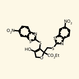 CCOC(=O)C1(CSc2nc3ccc([N+](=O)[O-])cc3s2)OCC(O)=C1Sc1nc2ccc([N+](=O)[O-])cc2s1